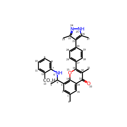 Cc1cc(C(C)Nc2ccccc2C(=O)O)c2oc(-c3ccc(-c4c(C)n[nH]c4C)cc3)c(C)c(=O)c2c1